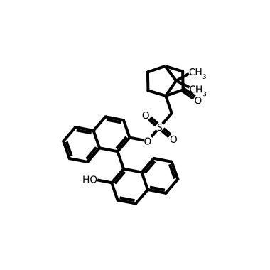 CC1(C)C2CCC1(CS(=O)(=O)Oc1ccc3ccccc3c1-c1c(O)ccc3ccccc13)C(=O)C2